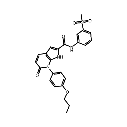 CCCOc1ccc(-n2c(=O)ccc3cc(C(=O)Nc4cccc(S(C)(=O)=O)c4)[nH]c32)cc1